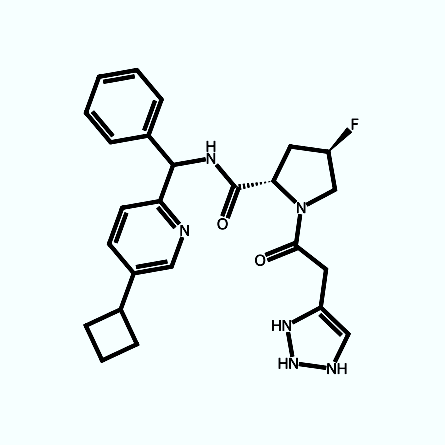 O=C(NC(c1ccccc1)c1ccc(C2CCC2)cn1)[C@@H]1C[C@@H](F)CN1C(=O)CC1=CNNN1